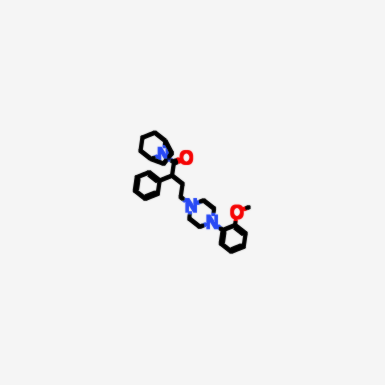 COc1ccccc1N1CCN(CCC(C(=O)N2C3CCCC2CC3)c2ccccc2)CC1